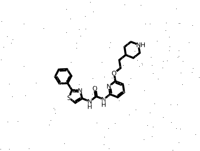 O=C(Nc1cccc(OCCC2CCNCC2)n1)Nc1csc(-c2ccccc2)n1